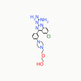 NC(N)=Nc1nc(-c2cccc(N3CCN(CCOCCO)CC3)c2)c2cc(Cl)ccc2n1